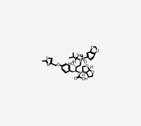 [2H]C([2H])(C(C)C)N(C[C@@H](O)[C@H](Cc1ccc(OCc2csc(C)n2)cc1)N(C(=O)O)[C@H]1CO[C@H]2OCC[C@H]21)S(=O)(=O)c1ccc2c(c1)OCO2